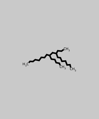 CCCCCCCCC([CH]C(CCC)CCCCCCC)CCCCC